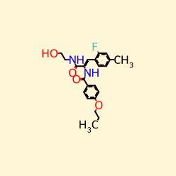 CCCOc1ccc(C(=O)N/C(=C\c2ccc(C)cc2F)C(=O)NCCO)cc1